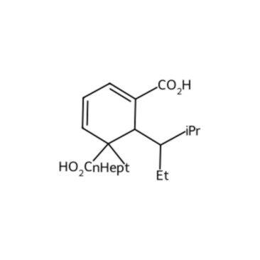 CCCCCCCC1(C(=O)O)C=CC=C(C(=O)O)C1C(CC)C(C)C